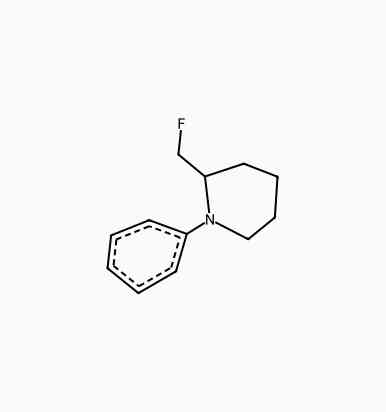 FCC1CCCCN1c1ccccc1